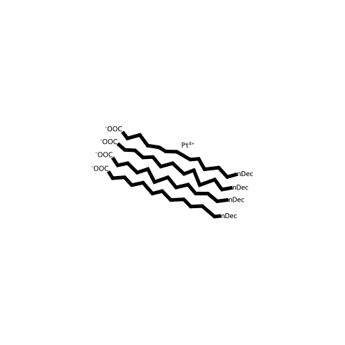 CCCCCCCCCCCCCCCCCCCCCC(=O)[O-].CCCCCCCCCCCCCCCCCCCCCC(=O)[O-].CCCCCCCCCCCCCCCCCCCCCC(=O)[O-].CCCCCCCCCCCCCCCCCCCCCC(=O)[O-].[Pt+4]